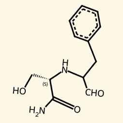 NC(=O)[C@H](CO)NC(C=O)Cc1ccccc1